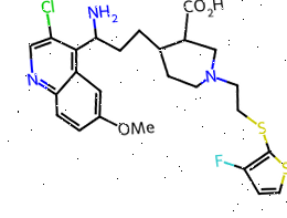 COc1ccc2ncc(Cl)c(C(N)CCC3CCN(CCSc4sccc4F)CC3C(=O)O)c2c1